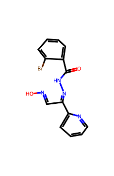 O=C(N/N=C(\C=N\O)c1ccccn1)c1ccccc1Br